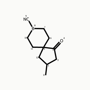 CC1CC(=O)C2(CCB(C#N)CC2)C1